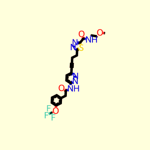 COCCNC(=O)c1nnc(CCC#Cc2ccc(NC(=O)Cc3cccc(OC(F)(F)F)c3)nn2)s1